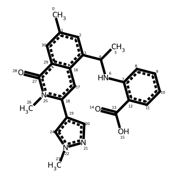 Cc1cc(C(C)Nc2ccccc2C(=O)O)c2cc(-c3cnn(C)c3)n(C)c(=O)c2c1